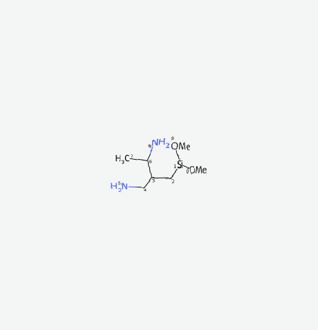 CO[Si](CC(CN)C(C)N)OC